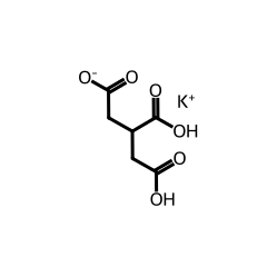 O=C([O-])CC(CC(=O)O)C(=O)O.[K+]